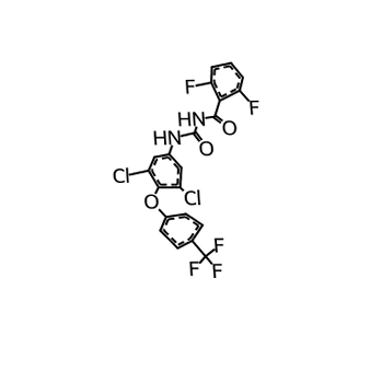 O=C(NC(=O)c1c(F)cccc1F)Nc1cc(Cl)c(Oc2ccc(C(F)(F)F)cc2)c(Cl)c1